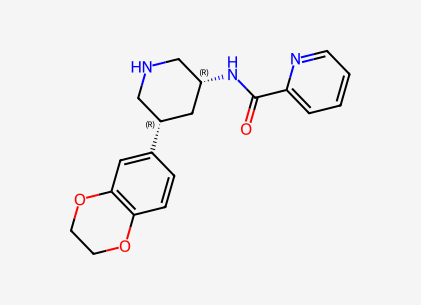 O=C(N[C@H]1CNC[C@@H](c2ccc3c(c2)OCCO3)C1)c1ccccn1